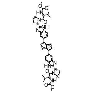 COC(=O)N[C@H](C(=O)N1[C@@H](C)CC[C@H]1c1nc2cc(-c3csc4c(-c5ccc6[nH]c([C@@H]7CC[C@H](C)N7C(=O)[C@@H](NC(=O)OC)C(C)C)nc6c5)csc34)ccc2[nH]1)C(C)C